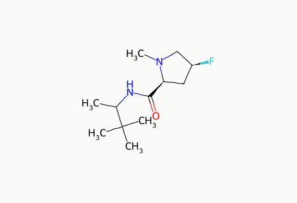 CC(NC(=O)[C@@H]1C[C@H](F)CN1C)C(C)(C)C